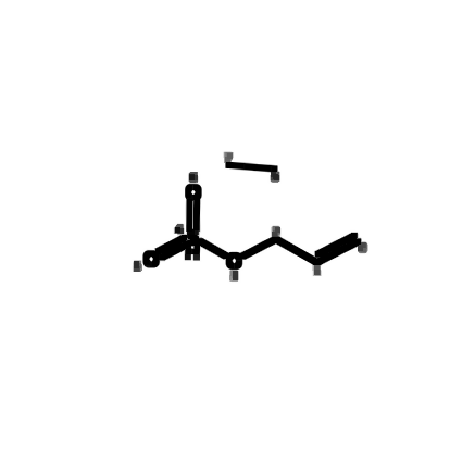 C=CCO[SH](=O)=O.CC